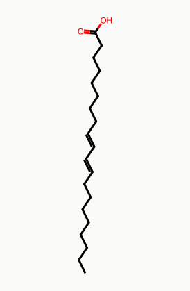 CCCCCCCCC=CC=CCCCCCCCC(=O)O